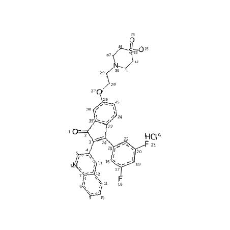 Cl.O=C1C(c2cnc3ccccc3c2)=C(c2cc(F)cc(F)c2)c2ccc(OCCN3CCS(=O)(=O)CC3)cc21